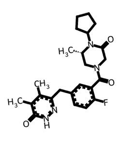 Cc1c(Cc2ccc(F)c(C(=O)N3CC(=O)N(C4CCCC4)[C@@H](C)C3)c2)n[nH]c(=O)c1C